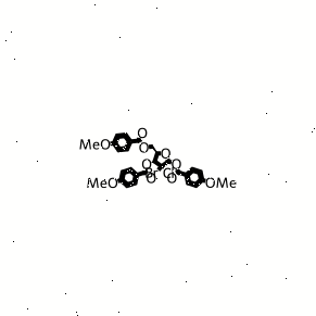 COc1ccc(C(=O)OC[C@H]2OC(OC(=O)c3ccc(OC)cc3)[C@@](Cl)(Br)[C@@H]2OC(=O)c2ccc(OC)cc2)cc1